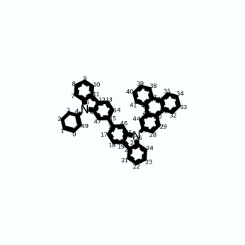 C1=CCCC(n2c3ccccc3c3ccc(-c4ccc5c6ccccc6n(-c6ccc7c8ccccc8c8ccccc8c7c6)c5c4)cc32)=C1